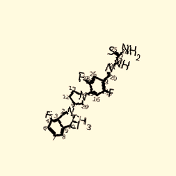 CN(Cc1c(F)cccc1Cl)[C@H]1CCN(c2cc(F)c(/C=N/NC(N)=S)cc2F)C1